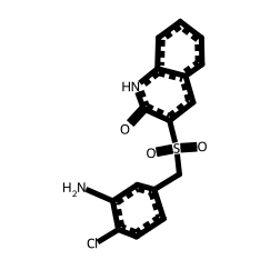 Nc1cc(CS(=O)(=O)c2cc3ccccc3[nH]c2=O)ccc1Cl